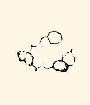 O=C1COc2ccc(CNC(=O)c3cc(C(=O)NCC4CCCCCC4)n4nccc4n3)cc2N1